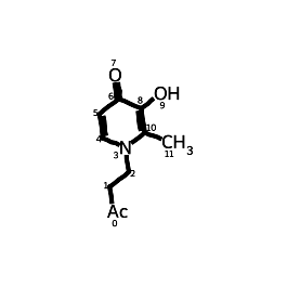 CC(=O)CCn1ccc(=O)c(O)c1C